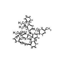 Cc1ccc(-c2cc(N(c3ccc4c(c3)C(C)(C)c3ccccc3-4)c3ccc4c(c3)C(C)(C)c3cccc(C(C)(C)C)c3-4)c3oc4c(C(C)C)cccc4c3c2)c(C)c1